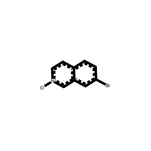 [O-][n+]1ccc2ccc(Br)cc2c1